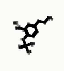 Cl.NCCc1ccc(OP(=O)(O)O)c(O)c1